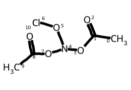 CC(=O)ON(OCl)OC(C)=O